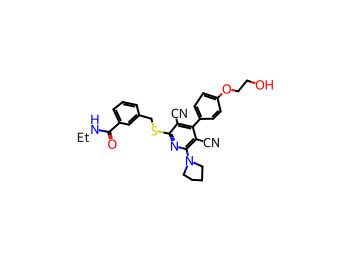 CCNC(=O)c1cccc(CSc2nc(N3CCCC3)c(C#N)c(-c3ccc(OCCO)cc3)c2C#N)c1